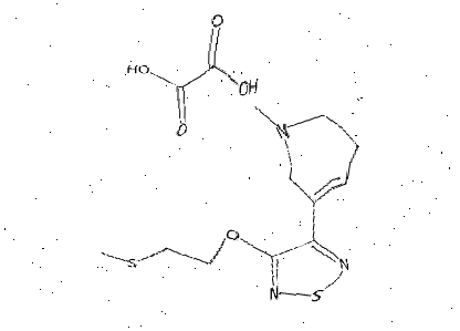 CSCCOc1nsnc1C1=CCCN(C)C1.O=C(O)C(=O)O